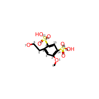 COc1cc(CC[O])c(S(=O)(=O)O)cc1S(=O)(=O)O